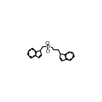 [Cl][Zr]([Cl])([CH2]CCC1C=Cc2ccccc21)[CH2]C1C=Cc2ccccc21